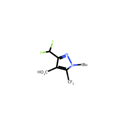 CC(C)(C)n1nc(C(F)F)c(C(=O)O)c1C(F)(F)F